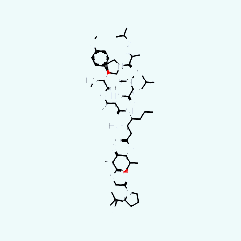 CC[C@H](C)[C@H](NC(=O)[C@@H](NC(=O)[C@@H](CC(C)C)N(C)C(=O)[C@@H]1CCCN1C(=O)C(C)SSC(C)C)[C@@H](C)OC(=O)[C@H](Cc1ccc(OC)cc1)NC)[C@@H](O)CC(=O)O[C@H](C(=O)[C@H](C)C(=O)N[C@@H](CC(C)C)C(=O)N1CCC[C@H]1CO)C(C)C